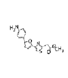 COC(=O)Cc1nc(-c2ccc(-c3ccc(N)cc3)o2)cs1